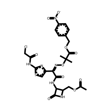 CC(=O)OCC1NC(=O)C1NC(=O)C(=NOC(C)(C)C(=O)OCc1ccc([N+](=O)[O-])cc1)c1csc(NC(=O)CCl)n1